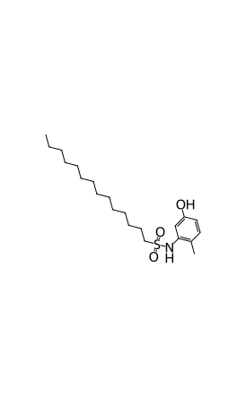 CCCCCCCCCCCCCCS(=O)(=O)Nc1cc(O)ccc1C